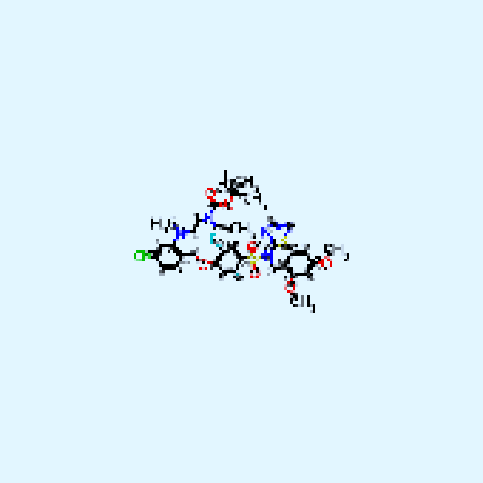 CCN(CCN(C)c1cc(Cl)ccc1COc1cc(F)c(S(=O)(=O)N(Cc2ccc(OC)cc2OC)c2ncns2)cc1F)C(=O)OC(C)(C)C